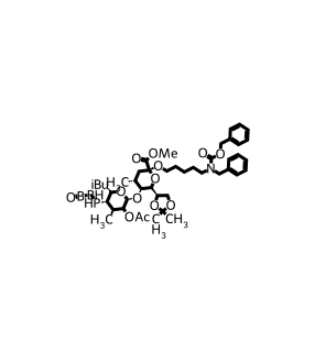 CC[C@H](C)C1O[C@H](O[C@H]2C([C@H]3COC(C)(C)O3)O[C@@](OCCCCCN(Cc3ccccc3)C(=O)OCc3ccccc3)(C(=O)OC)C[C@H]2C)C(OC(C)=O)[C@@H](C)[C@@H]1PBB=O